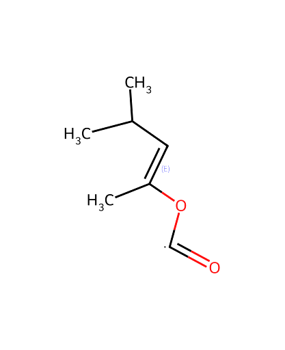 C/C(=C\C(C)C)O[C]=O